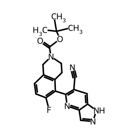 CC(C)(C)OC(=O)N1CCc2c(ccc(F)c2-c2nc3cn[nH]c3cc2C#N)C1